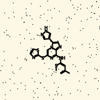 C=C(C)/C=C(/Nc1nc(Sc2nccs2)cn2c(-c3cn[nH]c3)cnc12)SC